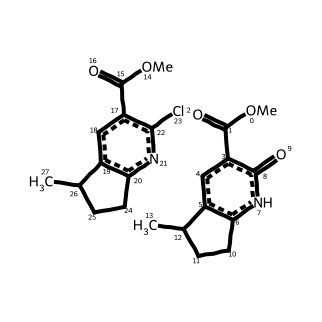 COC(=O)c1cc2c([nH]c1=O)CCC2C.COC(=O)c1cc2c(nc1Cl)CCC2C